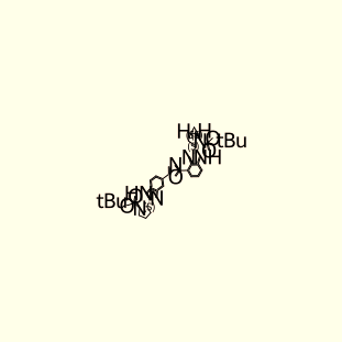 CC(C)(C)OC(=O)N1CCC[C@H]1c1nc2cc(-c3cnc(-c4cccc5[nH]c([C@@H]6C[C@@H]7C[C@@H]7N6C(=O)OC(C)(C)C)nc45)o3)ccc2[nH]1